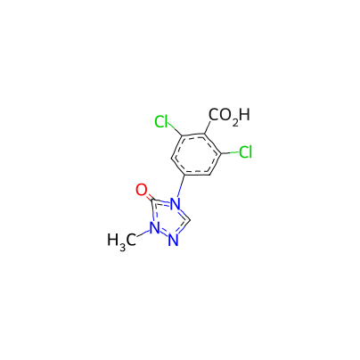 Cn1ncn(-c2cc(Cl)c(C(=O)O)c(Cl)c2)c1=O